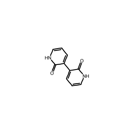 O=c1[nH]cccc1-c1ccc[nH]c1=O